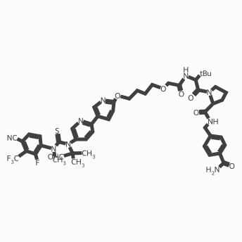 CN(C(=S)N(c1ccc(-c2ccc(OCCCCOCC(=O)NC(C(=O)N3CCCC3C(=O)NCc3ccc(C(N)=O)cc3)C(C)(C)C)nc2)nc1)C(C)(C)C=O)c1ccc(C#N)c(C(F)(F)F)c1F